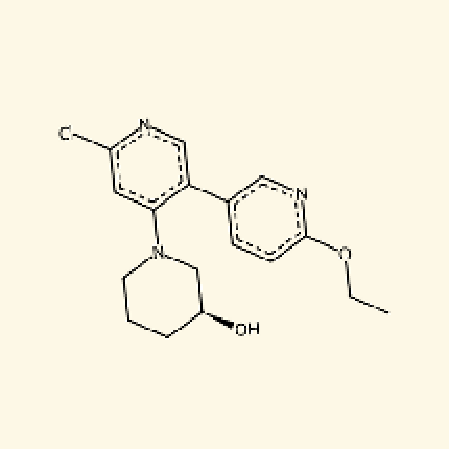 CCOc1ccc(-c2cnc(Cl)cc2N2CCC[C@H](O)C2)cn1